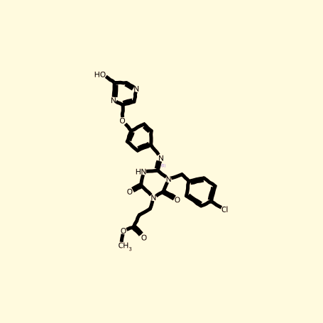 COC(=O)CCn1c(=O)[nH]/c(=N\c2ccc(Oc3cncc(O)n3)cc2)n(Cc2ccc(Cl)cc2)c1=O